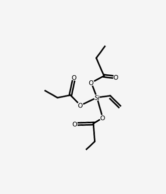 C=C[Si](OC(=O)CC)(OC(=O)CC)OC(=O)CC